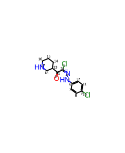 O=C(/C(Cl)=N\Nc1ccc(Cl)cc1)C1CCCNC1